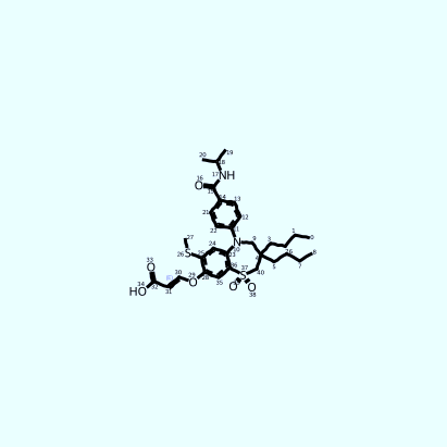 CCCCC1(CCCC)CN(c2ccc(C(=O)NC(C)C)cc2)c2cc(SC)c(O/C=C/C(=O)O)cc2S(=O)(=O)C1